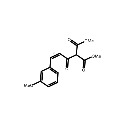 COC(=O)C(C(=O)/C=C\c1cccc(OC)c1)C(=O)OC